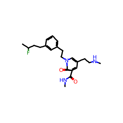 CNCCc1cc(C(=O)NC)c(=O)n(CCc2cccc(CCC(C)F)c2)c1